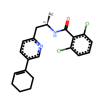 CC(=O)[C@H](Cc1ccc(C2=CCCCC2)cn1)NC(=O)c1c(Cl)cccc1Cl